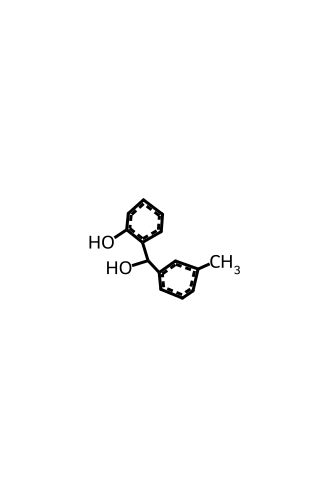 Cc1cccc(C(O)c2ccccc2O)c1